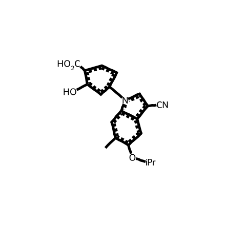 Cc1cc2c(cc1OC(C)C)c(C#N)cn2-c1ccc(C(=O)O)c(O)c1